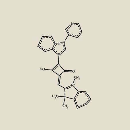 C[N+]1=C(/C=C2\C(=O)C(c3cn(-c4cccnc4)c4ccccc34)=C2O)C(C)(C)c2ccccc21